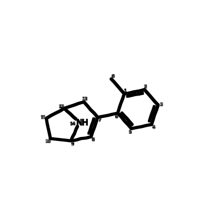 Cc1ccccc1C1=CC2CCC(C1)N2